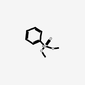 CO[SH](=O)(OC)c1ccccc1